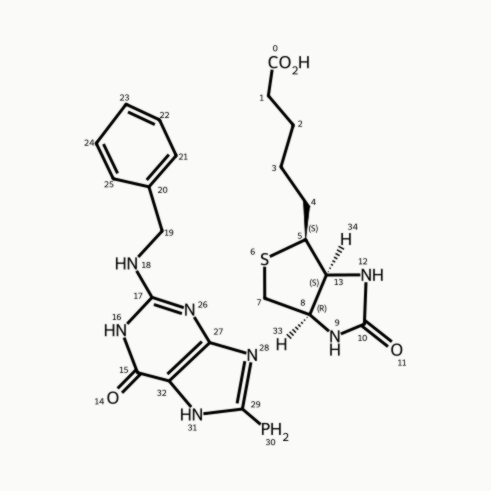 O=C(O)CCCC[C@@H]1SC[C@@H]2NC(=O)N[C@@H]21.O=c1[nH]c(NCc2ccccc2)nc2nc(P)[nH]c12